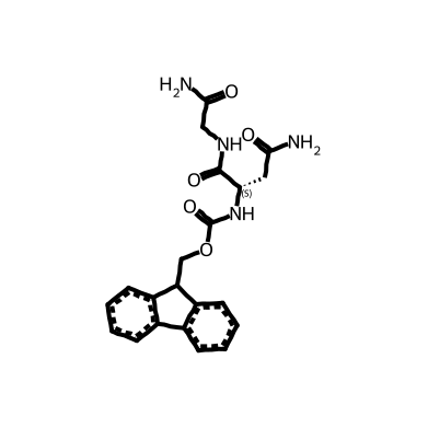 NC(=O)CNC(=O)[C@H](CC(N)=O)NC(=O)OCC1c2ccccc2-c2ccccc21